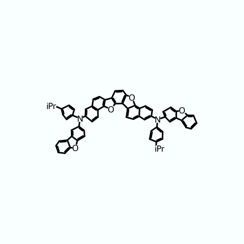 CC(C)c1ccc(N(c2ccc3c(ccc4c5ccc6oc7c8ccc(N(c9ccc(C(C)C)cc9)c9ccc%10oc%11ccccc%11c%10c9)cc8ccc7c6c5oc34)c2)c2ccc3oc4ccccc4c3c2)cc1